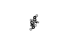 CC(C)N1CC2N(C(=O)CCN2S(=O)(=O)c2cc(Cl)ccc2Cl)C(Cc2ccc(Cl)cc2)C1=O